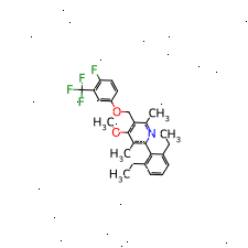 CCc1cccc(CC)c1-c1nc(C)c(COc2ccc(F)c(C(F)(F)F)c2)c(OC)c1C